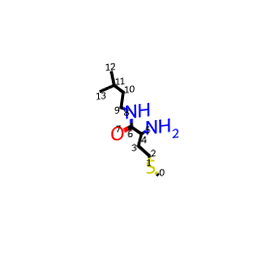 CSCCC(N)C(=O)NCCC(C)C